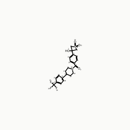 O=C(c1ccc(C2(O)CS(=O)(=O)C2)cc1)N1CCC(c2ccc(C(F)(F)F)cc2)CC1